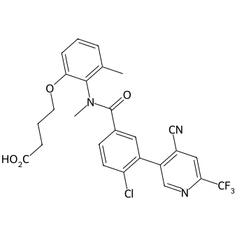 Cc1cccc(OCCCC(=O)O)c1N(C)C(=O)c1ccc(Cl)c(-c2cnc(C(F)(F)F)cc2C#N)c1